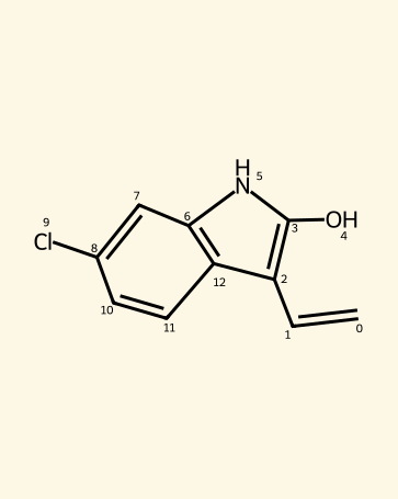 C=Cc1c(O)[nH]c2cc(Cl)ccc12